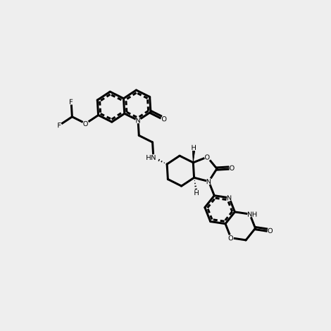 O=C1COc2ccc(N3C(=O)O[C@H]4C[C@@H](NCCn5c(=O)ccc6ccc(OC(F)F)cc65)CC[C@@H]43)nc2N1